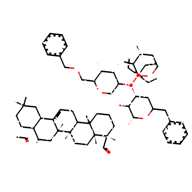 CC[Si](CC)(CC)OC1[C@H](OC2[C@H](O[C@H]3CCC4(C)C5CC=C6C7CC(C)(C)CC[C@]7(C(C)=O)C(C)C[C@@]6(C)[C@@]5(C)CC[C@H]4[C@@]3(C)C=O)OC(Cc3ccccc3)[C@@H](C)[C@@H]2O[C@@H]2OC[C@@H](C)[C@H](C)C2C)OC(COCc2ccccc2)[C@H](C)[C@@H]1C